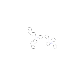 c1ccc(N2c3ccccc3N(c3cccc(-c4ccc(N(c5ccc6c(ccc7ccccc76)c5)c5ccc6c(ccc7ccccc76)c5)cc4)c3)c3ccccc32)cc1